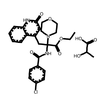 CC(O)C(=O)O.CCOC(=O)C(Cc1cc(=O)[nH]c2ccccc12)(NC(=O)c1ccc(Cl)cc1)N1CCOCC1